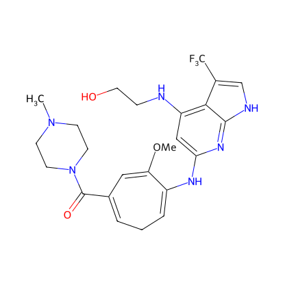 COC1=CC(C(=O)N2CCN(C)CC2)=CCC=C1Nc1cc(NCCO)c2c(C(F)(F)F)c[nH]c2n1